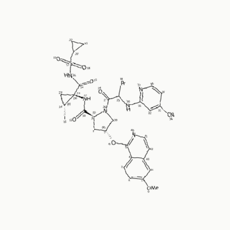 COc1ccc2c(O[C@@H]3C[C@@H](C(=O)N[C@]4(C(=O)NS(=O)(=O)C5CC5)C[C@H]4I)N(C(=O)C(Nc4cc(C#N)ccn4)C(C)C)C3)nccc2c1